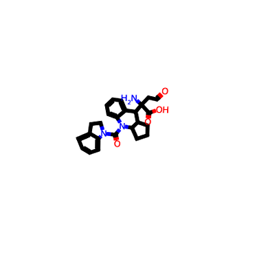 NC(CC=O)(C(=O)O)C1c2ccccc2N(C(=O)N2CCc3ccccc32)C2CCCC21